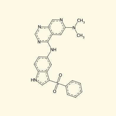 CN(C)c1cc2c(Nc3ccc4[nH]cc(S(=O)(=O)c5ccccc5)c4c3)ncnc2cn1